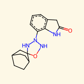 O=C1Cc2cccc(N3NOC4(CC5CCC4CC5)N3)c2N1